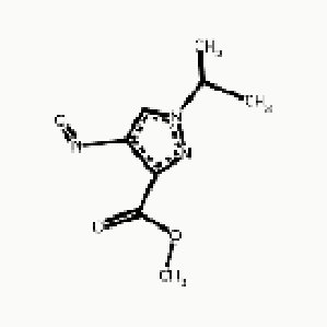 COC(=O)c1nn(C(C)C)cc1N=O